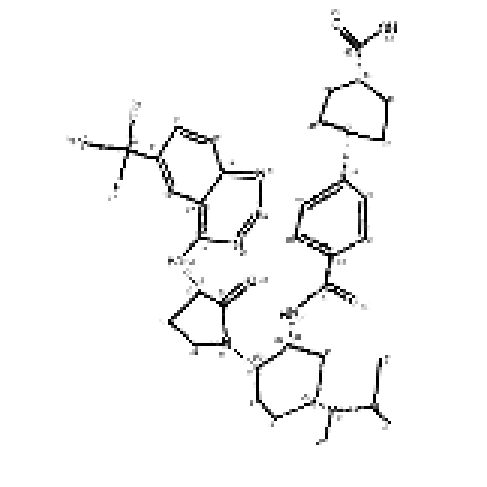 CC(C)N(C)[C@@H]1CC[C@H](N2CC[C@H](Nc3ncnc4ccc(C(F)(F)F)cc34)C2=O)[C@H](NC(=O)c2ccc([C@H]3CC[C@@H](C(=O)O)CC3)cc2)C1